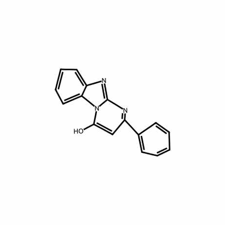 Oc1cc(-c2ccccc2)nc2nc3ccccc3n12